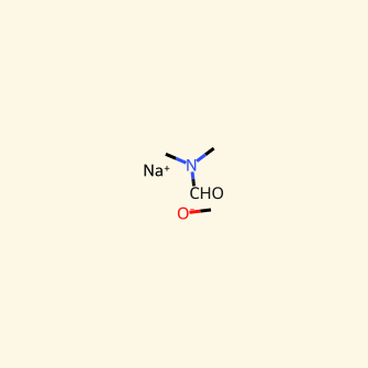 CN(C)C=O.C[O-].[Na+]